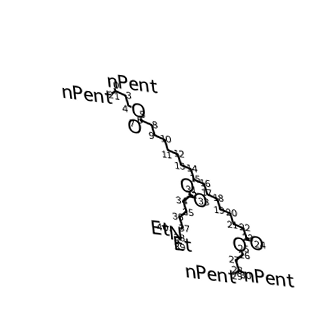 CCCCCC(CCCCC)CCOC(=O)CCCCCCCC(CCCCCCCC(=O)OCCC(CCCCC)CCCCC)OC(=O)CCCCN(CC)CC